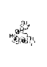 CCOP1(=O)OC(C)(P(=O)(O)O)C(CC)C1(CC)c1ccccc1